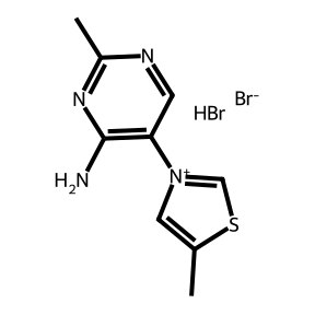 Br.Cc1ncc(-[n+]2csc(C)c2)c(N)n1.[Br-]